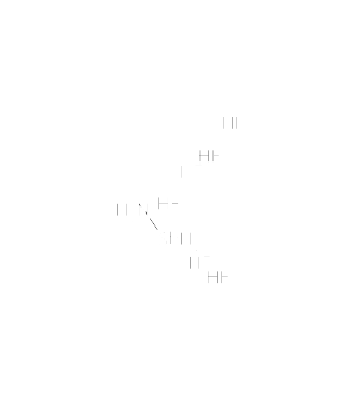 F.F.F.F.F.F.[NH2][SbH2]